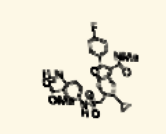 CNC(=O)c1c(-c2ccc(F)cc2)oc2cc(CS(=O)(=O)Nc3ccc(N)c(C(=O)OC)c3)c(C3CC3)cc12